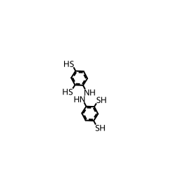 Sc1ccc(NNc2ccc(S)cc2S)c(S)c1